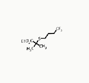 CCOC(=O)C(C)(C)SCCCC(F)(F)F